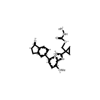 CCCNC(=O)OCC1(c2nc3c(OC)ccc(-c4ccc5c(c4)CCC5=O)n3n2)CC1